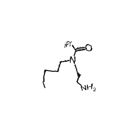 CC(C)C(=O)N(CCN)CCCI